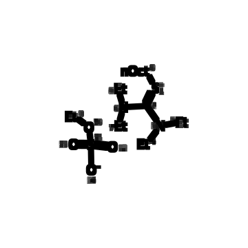 CCCCCCCC[S+]=C(N(CC)CC)N(CC)CC.CCOS(=O)(=O)[O-]